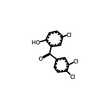 O=C(c1ccc(Cl)c(Cl)c1)c1cc(Cl)ccc1O